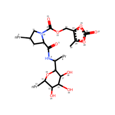 CCCC1CC(C(=O)NC(C(C)C)C2OC(CCC)C(O)C(O)C2O)N(C(=O)OCc2oc(=O)oc2C)C1